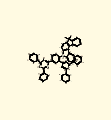 CC1(C)c2ccccc2-c2c1ccc1c2c2ccccc2n1-c1ccc(-c2nc(-c3ccccc3)nc(-c3ccccc3)n2)cc1-c1cc(-c2ccccc2)nc(-c2ccccc2)c1